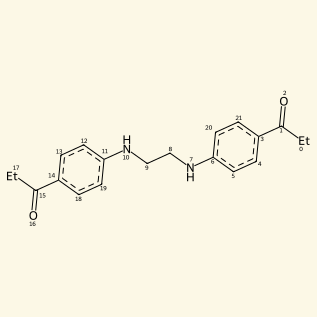 CCC(=O)c1ccc(NCCNc2ccc(C(=O)CC)cc2)cc1